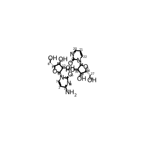 Nc1ccn([C@@H]2O[C@H](CO)[C@@H](O)[C@H]2O)c(=O)n1.O=c1ncccn1[C@@H]1O[C@H](CO)[C@@H](O)[C@H]1O